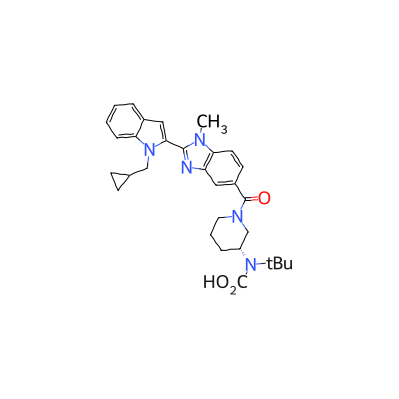 Cn1c(-c2cc3ccccc3n2CC2CC2)nc2cc(C(=O)N3CCC[C@@H](N(C(=O)O)C(C)(C)C)C3)ccc21